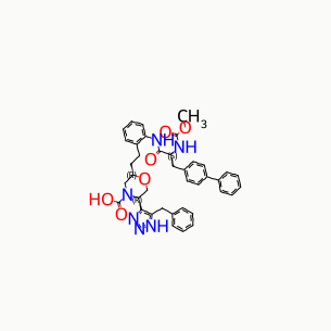 COC(=O)N[C@@H](Cc1ccc(-c2ccccc2)cc1)C(=O)Nc1ccccc1CC[C@@H]1CN(C(=O)O)[C@H](c2nn[nH]c2Cc2ccccc2)CO1